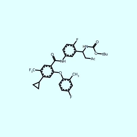 CC(=O)CC(NC(=O)OC(C)(C)C)c1cc(NC(=O)c2cc(C(F)(F)F)c(C3CC3)cc2Oc2ccc(F)cc2C)ccc1F